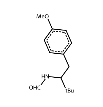 COc1ccc(CC(NC=O)C(C)(C)C)cc1